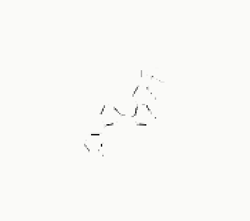 Fc1c(-c2cccnc2)cccc1-c1ccnc2nc(C(F)(F)F)ccc12